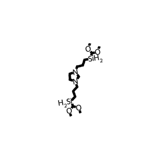 COC(OC)[SiH2]CCCN1CCN(CCC[SiH2]C(OC)OC)C1